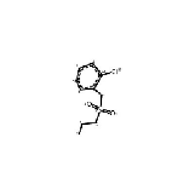 CCCS(=O)(=O)Cc1ccccc1Cl